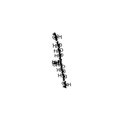 O=C(O)CNC(=O)CN(CCCNC(=O)CCNC(=O)CCNC(=O)CCSCC(=O)NC1CC1)CCCNC(=O)CCNC(=O)CCNC(=O)CCSCC(=O)NC1CC1